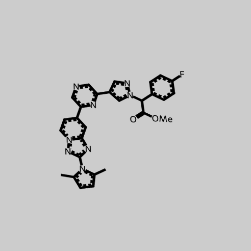 COC(=O)C(c1ccc(F)cc1)n1cc(-c2cncc(-c3ccn4nc(-n5c(C)ccc5C)nc4c3)n2)cn1